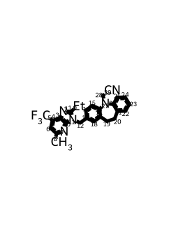 CCc1nc2c(C(F)(F)F)cc(C)nc2n1Cc1ccc2c(c1)CCc1ccccc1N2CC#N